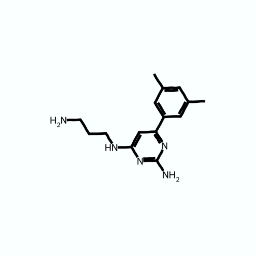 Cc1cc(C)cc(-c2cc(NCCCN)nc(N)n2)c1